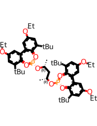 CCOc1cc(C(C)(C)C)c2op(O[C@H](C)C[C@@H](C)Op3oc4c(C(C)(C)C)cc(OCC)cc4c4cc(OCC)cc(C(C)(C)C)c4o3)oc3c(C(C)(C)C)cc(OCC)cc3c2c1